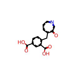 O=C(O)c1ccc(Cc2cccncc2=O)c(C(=O)O)c1